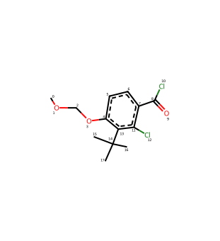 COCOc1ccc(C(=O)Cl)c(Cl)c1C(C)(C)C